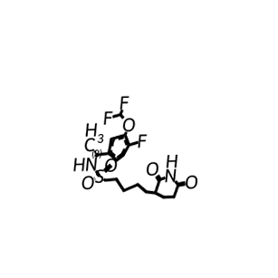 C[C@@H](NS(=O)(=O)CCCCCC1CCC(=O)NC1=O)c1ccc(F)c(OC(F)F)c1